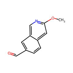 COc1cc2ccc(C=O)cc2cn1